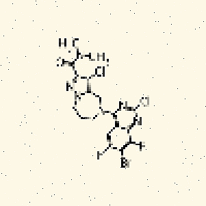 CN(C)C(=O)c1nn2c(c1Cl)CN(c1nc(Cl)nc3c(F)c(Br)c(F)cc13)CCC2